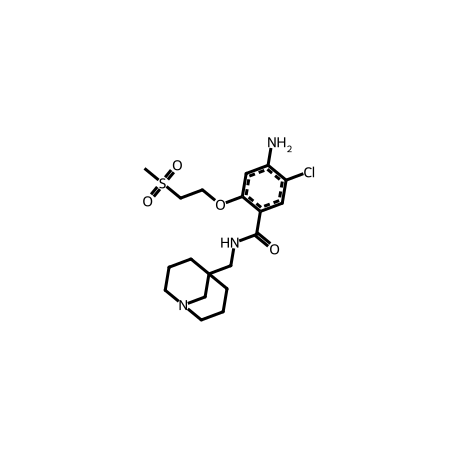 CS(=O)(=O)CCOc1cc(N)c(Cl)cc1C(=O)NCC12CCCN(CCC1)C2